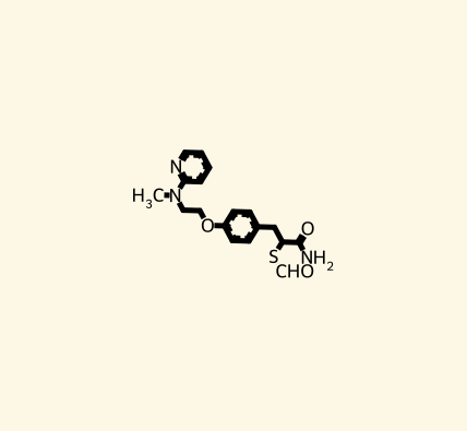 CN(CCOc1ccc(CC(SC=O)C(N)=O)cc1)c1ccccn1